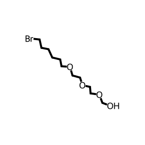 OCOCCOCCOCCCCCCBr